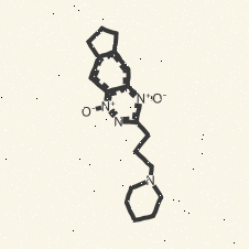 [O-][n+]1nc(CCCN2CCCCC2)[n+]([O-])c2cc3c(cc21)CCC3